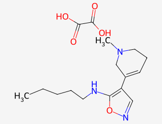 CCCCCNc1oncc1C1=CCCN(C)C1.O=C(O)C(=O)O